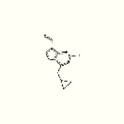 O=Cc1cnn2c(CC3CC3)cc(Cl)nc12